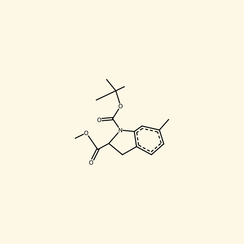 COC(=O)C1Cc2ccc(C)cc2N1C(=O)OC(C)(C)C